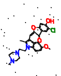 COc1ccc2c(c1)c(C=C1Oc3cc(O)c(Cl)cc3C1=O)c(C)n2CCN1CCN(C)CC1